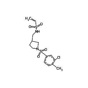 C=CS(=O)(=O)NCC1CCN(S(=O)(=O)c2ccc(C)c(Cl)c2)C1